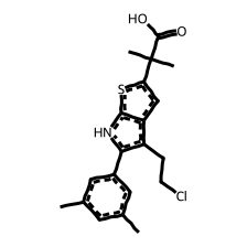 Cc1cc(C)cc(-c2[nH]c3sc(C(C)(C)C(=O)O)cc3c2CCCl)c1